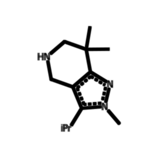 CC(C)c1c2c(nn1C)C(C)(C)CNC2